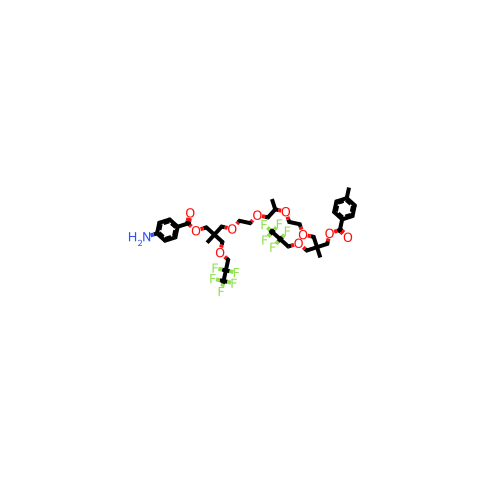 Cc1ccc(C(=O)OCC(C)(COCCOC(C)COCCOCC(C)(COCC(F)(F)C(F)(F)F)COC(=O)c2ccc(N)cc2)COCC(F)(F)C(F)(F)F)cc1